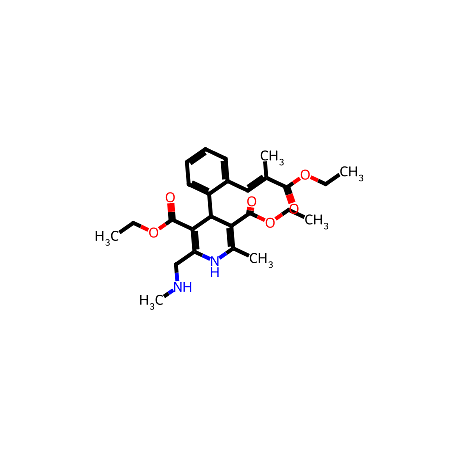 CCOC(=O)C1=C(C)NC(CNC)=C(C(=O)OCC)C1c1ccccc1/C=C(\C)C(=O)OCC